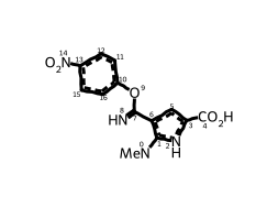 CNc1[nH]c(C(=O)O)cc1C(=N)Oc1ccc([N+](=O)[O-])cc1